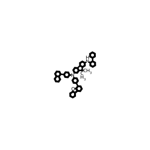 CC1(C)c2cc(Nc3ccccc3-c3ccccc3)ccc2-c2ccc(N(c3ccc(-c4cccc5ccccc45)cc3)c3ccc(-c4cccc5c4oc4ccccc45)cc3)cc21